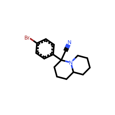 N#CC1(c2ccc(Br)cc2)CCCC2CCCCN21